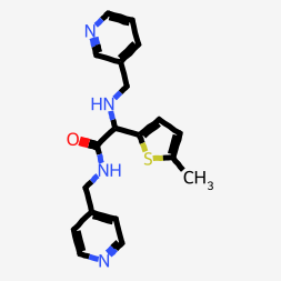 Cc1ccc(C(NCc2cccnc2)C(=O)NCc2ccncc2)s1